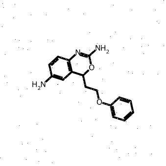 NC1=Nc2ccc(N)cc2C(CCOc2ccccc2)O1